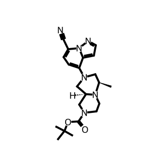 C[C@@H]1CN(c2ccc(C#N)n3nccc23)C[C@@H]2CN(C(=O)OC(C)(C)C)CCN21